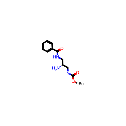 CC(C)(C)OC(=O)NC[C@H](N)CNC(=O)c1ccccc1